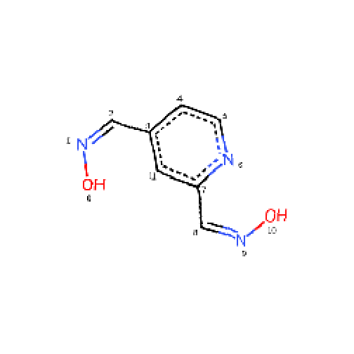 O/N=C\c1ccnc(/C=N\O)c1